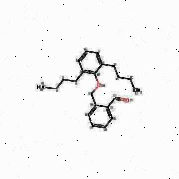 CCCCc1cccc(CCCC)c1OCc1ccccc1C=O